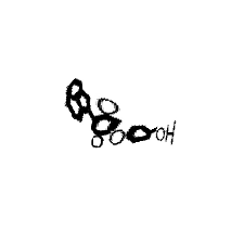 O=C1C=C(C2Cc3cccc4cccc2c34)C(=O)C=C1Oc1ccc(CO)cc1